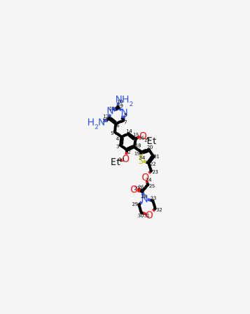 CCOc1cc(Cc2cnc(N)nc2N)cc(OCC)c1-c1ccc(COCC(=O)N2CCOCC2)s1